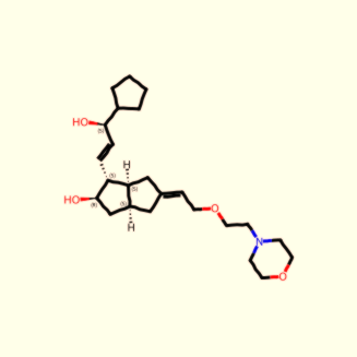 O[C@H](C=C[C@@H]1[C@H]2CC(=CCOCCN3CCOCC3)C[C@H]2C[C@H]1O)C1CCCC1